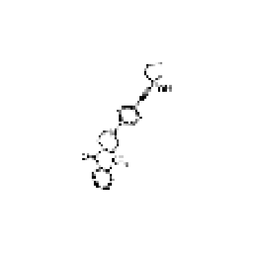 O=C(c1ccccc1C(F)(F)F)N1CCN(c2ccc(C#CC3(O)CCCC3)cn2)CC1